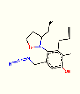 C=CCc1c(C)c(O)cc(CN=[N+]=[N-])c1N1OCCC1CC(C)C